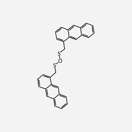 c1ccc2cc3c(CSOSCc4cccc5cc6ccccc6cc45)cccc3cc2c1